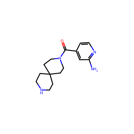 Nc1cc(C(=O)N2CCC3(CCNCC3)CC2)ccn1